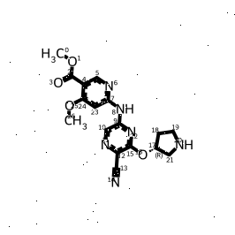 COC(=O)c1cnc(Nc2cnc(C#N)c(O[C@@H]3CCNC3)n2)cc1OC